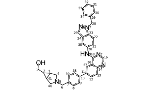 OCC1C2CN(Cc3ccc(-c4ccc5ncnc(Nc6ccc7c(cnn7Cc7ccccc7)c6)c5c4)cc3)CC12